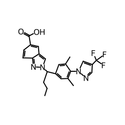 CCCC(c1cc(C)c(-n2cc(C(F)(F)F)cn2)c(C)c1)n1cc2cc(C(=O)O)ccc2n1